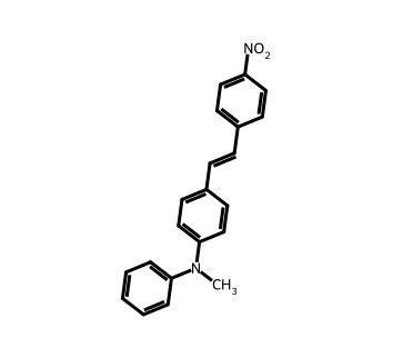 CN(c1ccccc1)c1ccc(C=Cc2ccc([N+](=O)[O-])cc2)cc1